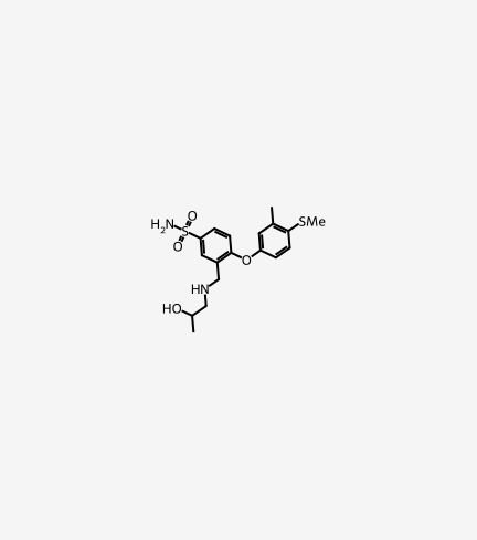 CSc1ccc(Oc2ccc(S(N)(=O)=O)cc2CNCC(C)O)cc1C